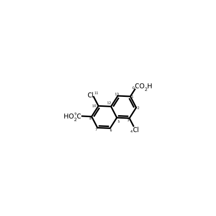 O=C(O)c1cc(Cl)c2ccc(C(=O)O)c(Cl)c2c1